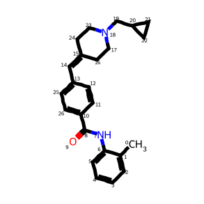 Cc1ccccc1NC(=O)c1ccc(C=C2CCN(CC3CC3)CC2)cc1